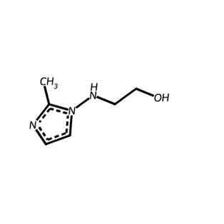 Cc1nccn1NCCO